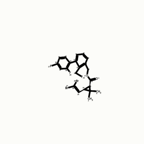 CC1(C)[C@H](C(=O)OCc2cccc(-c3ccc(F)cc3F)c2CF)[C@@H]1C=C(Br)Br